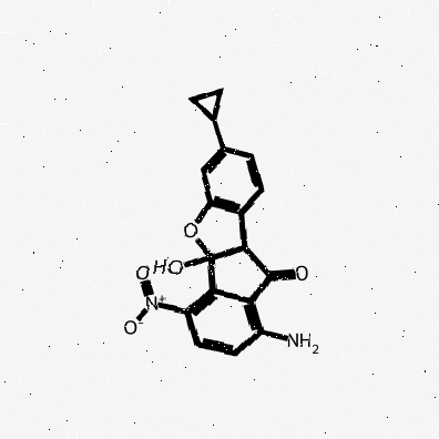 Nc1ccc([N+](=O)[O-])c2c1C(=O)C1c3ccc(C4CC4)cc3OC21O